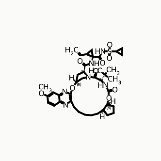 C=CC1C[C@]1(NC(=O)[C@@H]1C[C@@H]2CN1C(=O)[C@H](C(C)(C)C)NC(=O)O[C@@H]1CCC[C@H]1CCCCCc1nc3ccc(OC)cc3nc1O2)C(=O)NS(=O)(=O)C1CC1